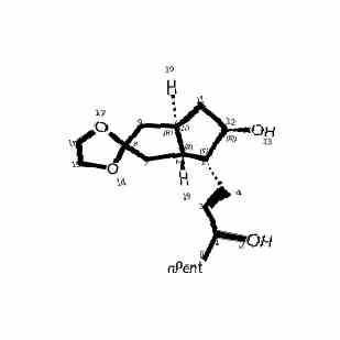 CCCCCC(O)C=C[C@@H]1[C@@H]2CC3(C[C@H]2C[C@H]1O)OCCO3